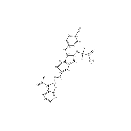 CC(=O)N1c2ccccc2C[C@H]1COc1ccc2c(c1)cc(CC(C)(C)C(=O)O)n2Cc1ccc(Cl)cc1